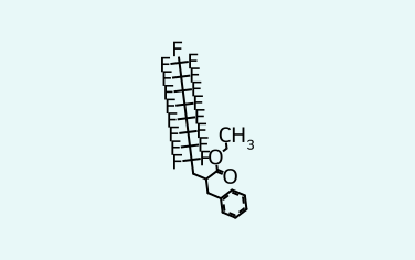 CCOC(=O)C(Cc1ccccc1)CC(F)(F)C(F)(F)C(F)(F)C(F)(F)C(F)(F)C(F)(F)C(F)(F)C(F)(F)F